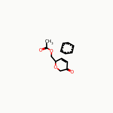 CC(=O)OCC1C=CC(=O)CO1.c1ccccc1